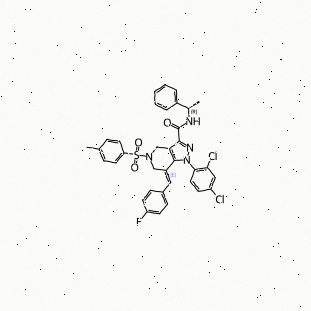 Cc1ccc(S(=O)(=O)N2C/C(=C\c3ccc(F)cc3)c3c(c(C(=O)N[C@H](C)c4ccccc4)nn3-c3ccc(Cl)cc3Cl)C2)cc1